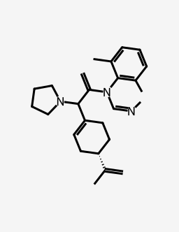 C=C(C)[C@@H]1CC=C(C(C(=C)N(/C=N\C)c2c(C)cccc2C)N2CCCC2)CC1